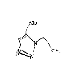 CC(C)(C)c1cnnn1CC(F)(F)F